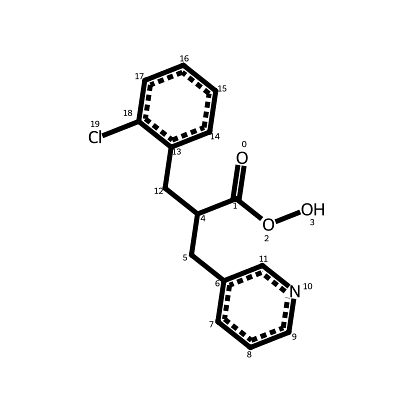 O=C(OO)C(Cc1cccnc1)Cc1ccccc1Cl